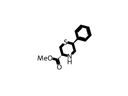 COC(=O)[C@@H]1CS[C@@H](c2ccccc2)CN1